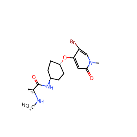 C[C@H](NC(=O)O)C(=O)N[C@H]1CC[C@H](Oc2cc(=O)n(C)cc2Br)CC1